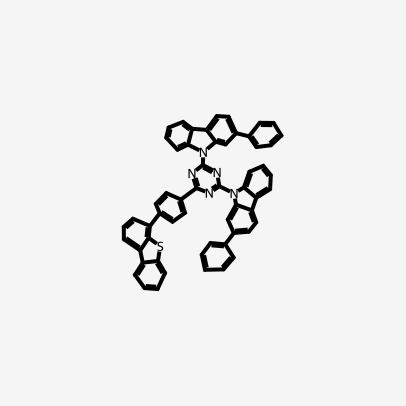 c1ccc(-c2ccc3c4ccccc4n(-c4nc(-c5ccc(-c6cccc7c6sc6ccccc67)cc5)nc(-n5c6ccccc6c6ccc(-c7ccccc7)cc65)n4)c3c2)cc1